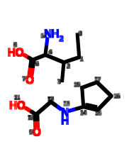 CCC(C)C(N)C(=O)O.O=C(O)CNC1=CCCC1